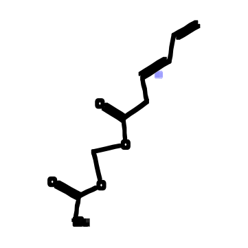 C=C/C=C/CC(=O)OCOC(=O)C(C)(C)C